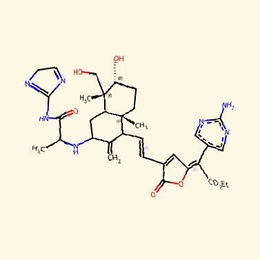 C=C1C(NC(C)C(=O)NC2=NCC=N2)CC2[C@](C)(CC[C@@H](O)[C@@]2(C)CO)C1/C=C/C1=CC(=C(/C(=O)OCC)c2cnc(N)nc2)/OC1=O